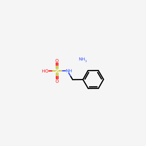 N.O=S(=O)(O)NCc1ccccc1